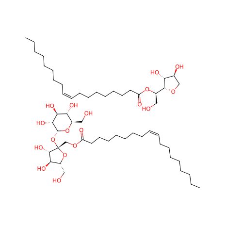 CCCCCCCC/C=C\CCCCCCCC(=O)OC[C@@]1(O[C@H]2O[C@H](CO)[C@@H](O)[C@H](O)[C@H]2O)O[C@H](CO)[C@@H](O)[C@@H]1O.CCCCCCCC/C=C\CCCCCCCC(=O)O[C@H](CO)[C@H]1OC[C@H](O)[C@H]1O